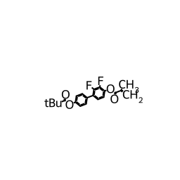 C=C(C)C(=O)Oc1ccc(-c2ccc(OC(=O)C(C)(C)C)cc2)c(F)c1F